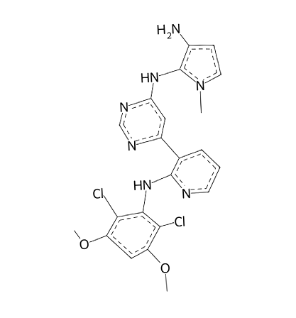 COc1cc(OC)c(Cl)c(Nc2ncccc2-c2cc(Nc3c(N)ccn3C)ncn2)c1Cl